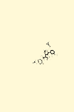 CCC(=O)N[C@@H]1CC[C@H](NC(=O)c2c(C)[nH]c3c(-c4cc(C(F)(F)F)ccc4OCC4CC4)ncnc23)[C@H](C)C1